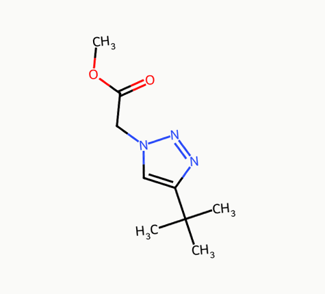 COC(=O)Cn1cc(C(C)(C)C)nn1